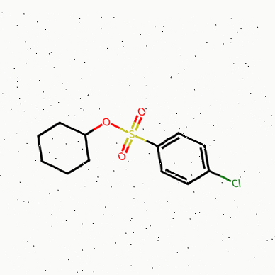 O=S(=O)(OC1CCCCC1)c1ccc(Cl)cc1